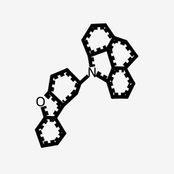 c1ccc2c(c1)oc1ccc(-n3c4cccc5ccc6cccc3c6c54)cc12